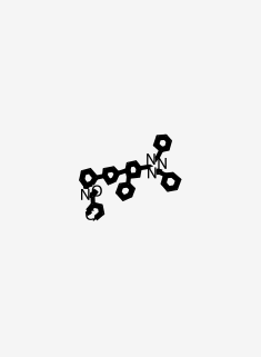 c1ccc(-c2nc(-c3ccccc3)nc(-c3ccc(-c4ccc(-c5cccc6nc(-c7ccccc7)oc56)cc4)c(-c4ccccc4)c3)n2)cc1